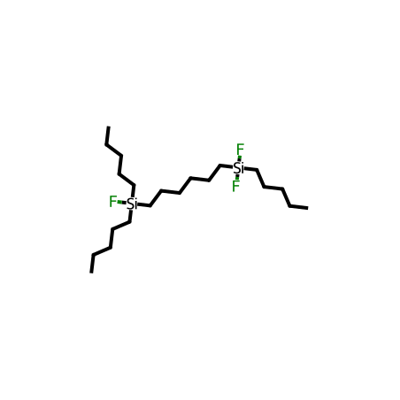 CCCCC[Si](F)(F)CCCCCC[Si](F)(CCCCC)CCCCC